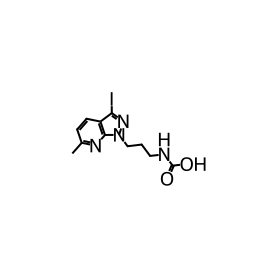 Cc1ccc2c(I)nn(CCCNC(=O)O)c2n1